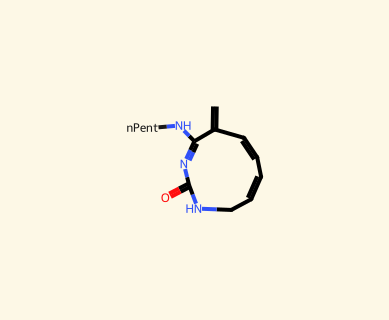 C=C1/C=C\C=C/CNC(=O)/N=C\1NCCCCC